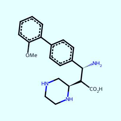 COc1ccccc1-c1ccc([C@H](N)C(C(=O)O)[C@@H]2CNCCN2)cc1